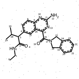 CCNC(=O)C(c1ccc2nc(N)nc(C(=O)N3Cc4ccccc4C3)c2c1)C(C)C